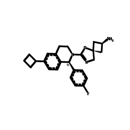 N[C@H]1C[C@@]2(CN=C(N3CCc4cc(C5CCC5)ccc4[C@@H]3c3ccc(F)cc3)O2)C1